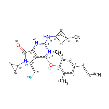 Cc1cc(/C=C/C#N)cc(C)c1Oc1nc(NC23CC(C#N)(C2)C3)nc2c1/C(=C/F)N(C1CC1)C2=O